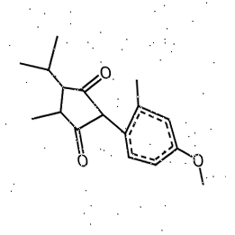 COc1ccc(C2C(=O)C(C)C(C(C)C)C2=O)c(C)c1